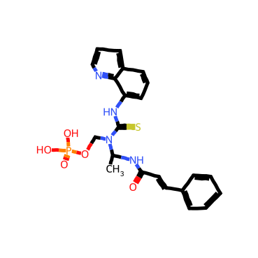 CC(NC(=O)/C=C/c1ccccc1)N(COP(=O)(O)O)C(=S)Nc1cccc2cccnc12